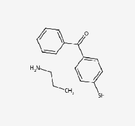 CCCN.O=C(c1ccccc1)c1ccc(S)cc1